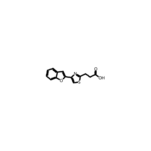 O=C(O)CCc1nc(-c2cc3ccccc3o2)cs1